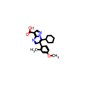 COc1ccc(-c2cnc3c(C(=O)O)cnn3c2C2CCCCC2)c(C)c1